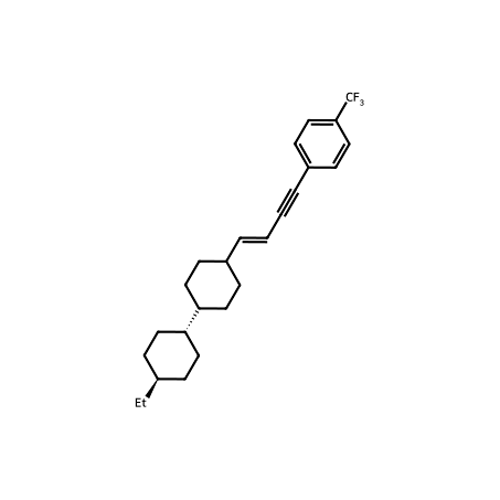 CC[C@H]1CC[C@H](C2CCC(/C=C/C#Cc3ccc(C(F)(F)F)cc3)CC2)CC1